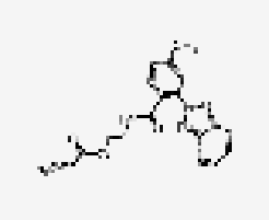 C=CC(=O)OCCNC(=O)c1ccc(C)cc1-n1nc2ccccc2n1